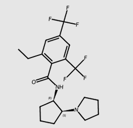 CCc1cc(C(F)(F)F)cc(C(F)(F)F)c1C(=O)N[C@@H]1CCC[C@@H]1N1CCCC1